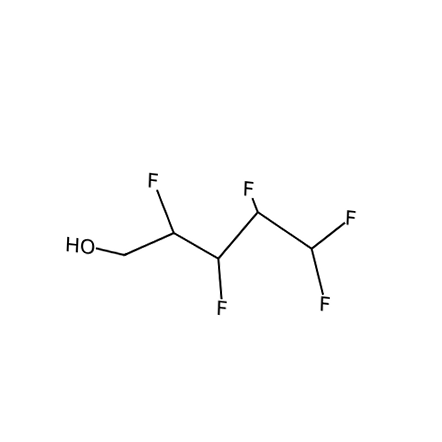 OCC(F)C(F)C(F)C(F)F